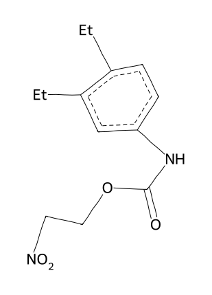 CCc1ccc(NC(=O)OCC[N+](=O)[O-])cc1CC